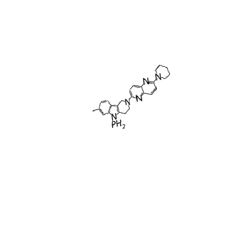 Cc1ccc2c3c(n(P)c2c1)CCN(c1ccc2nc(N4CCCCC4)ccc2n1)C3